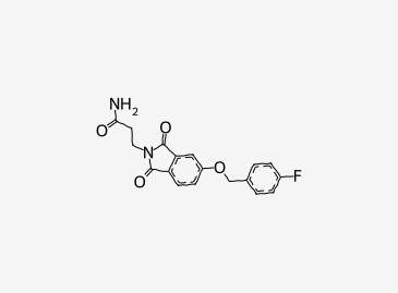 NC(=O)CCN1C(=O)c2ccc(OCc3ccc(F)cc3)cc2C1=O